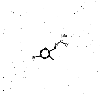 Cc1cc(Br)ccc1/C=N/[S@@+]([O-])C(C)(C)C